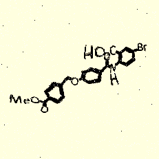 COC(=O)c1ccc(COc2ccc(C(=O)Nc3ccc(Br)cc3C(=O)O)cc2)cc1